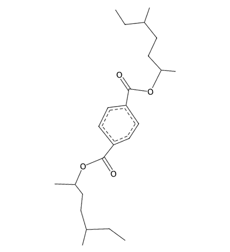 CCC(C)CCC(C)OC(=O)c1ccc(C(=O)OC(C)CCC(C)CC)cc1